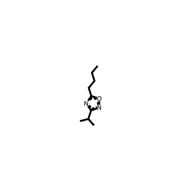 CCCCc1nc(C(C)C)no1